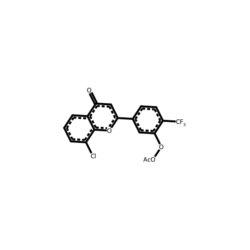 CC(=O)OOc1cc(-c2cc(=O)c3cccc(Cl)c3o2)ccc1C(F)(F)F